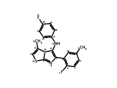 Cc1ccc(F)c(-c2nc3scc(C)n3c2Nc2ccc(F)cc2)c1